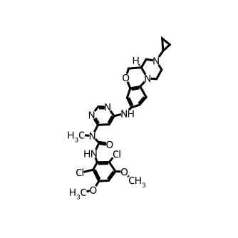 COc1cc(OC)c(Cl)c(NC(=O)N(C)c2cc(Nc3ccc4c(c3)OC[C@H]3CN(C5CC5)CCN43)ncn2)c1Cl